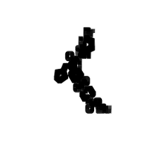 CC(C)(C)OC(=O)N1CCN(S(=O)(=O)c2ccc(C(CC3CCCC3)C(=O)Nc3nc4ccc(Br)nc4s3)cc2)CC1